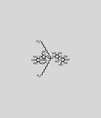 CCCCCCCCCCOCC(COCCCCCCCCCC)(CO[C@H]1OC(CO)[C@H](O[C@@H]2OC(CO)[C@H](O)C(O)[C@H]2O)C(O)[C@H]1O)CO[C@H]1OC(CO)[C@H](O[C@@H]2OC(CO)[C@H](O)C(O)[C@H]2O)C(O)[C@H]1O